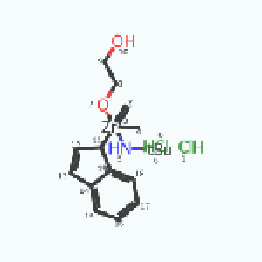 Cl.Cl.[CH2]=[Zr]([CH3])([NH]C(C)(C)C)([O]CCO)[CH]1C=Cc2ccccc21